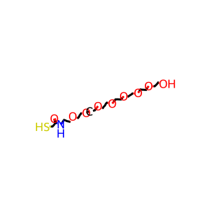 O=C(CS)NCCOCCOCCOCCOCCOCCOCCOCCO